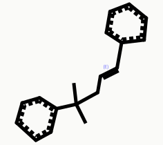 CC(C)(C/C=C/c1ccccc1)c1ccccc1